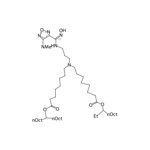 CCCCCCCCC(CC)OC(=O)CCCCCCCN(CCCCCCCC(=O)OC(CCCCCCCC)CCCCCCCC)CCCN/C(=N/O)c1nonc1NC